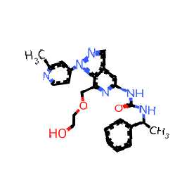 Cc1cc(-n2ncc3cc(NC(=O)NC(C)c4ccccc4)nc(COCCO)c32)ccn1